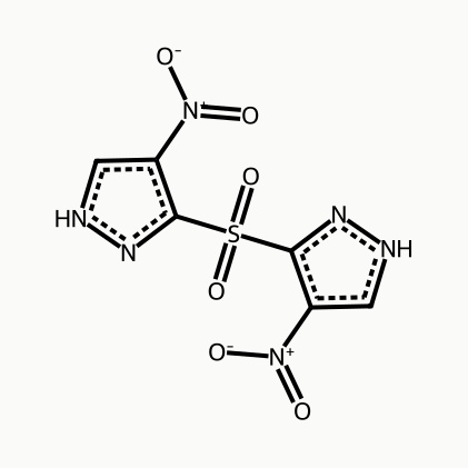 O=[N+]([O-])c1c[nH]nc1S(=O)(=O)c1n[nH]cc1[N+](=O)[O-]